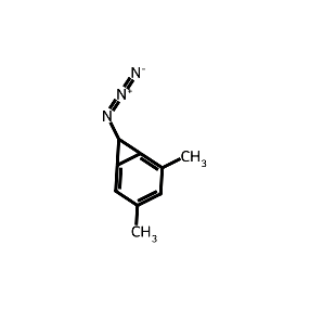 Cc1cc(C)c2c(c1)C2N=[N+]=[N-]